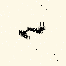 Cc1c(C#Cc2cnn(CCN3CCN(Cc4cccc5c4CN(C4CCC(=O)NC4=O)C5=O)CC3)c2)sc2c1C(C1CCC(Cl)CC1)=N[C@@H](C)c1nnc(C)n1-2